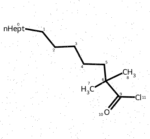 CCCCCCCCCCCCC(C)(C)C(=O)Cl